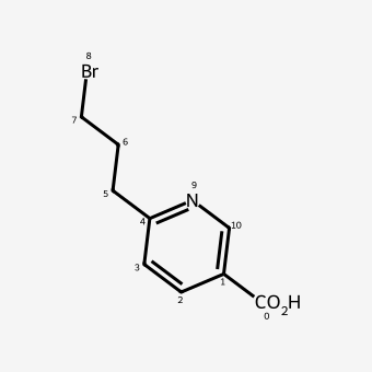 O=C(O)c1ccc(CCCBr)nc1